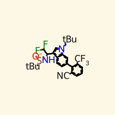 CC(C)(C)Cn1cc(C(N[S+]([O-])C(C)(C)C)C(F)F)c2ccc(-c3c(C#N)cccc3C(F)(F)F)cc21